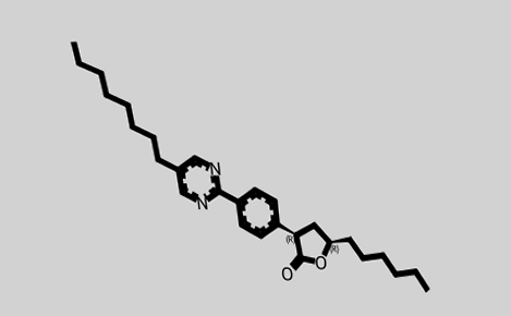 CCCCCCCCc1cnc(-c2ccc([C@H]3C[C@@H](CCCCCC)OC3=O)cc2)nc1